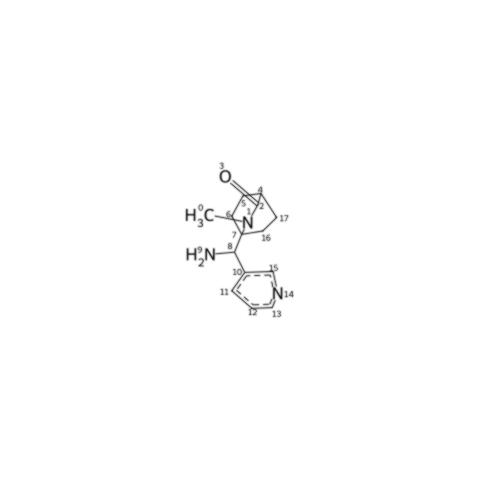 CN1C(=O)C2CCC1(C(N)c1cccnc1)CC2